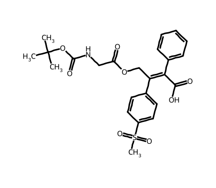 CC(C)(C)OC(=O)NCC(=O)OCC(=C(C(=O)O)c1ccccc1)c1ccc(S(C)(=O)=O)cc1